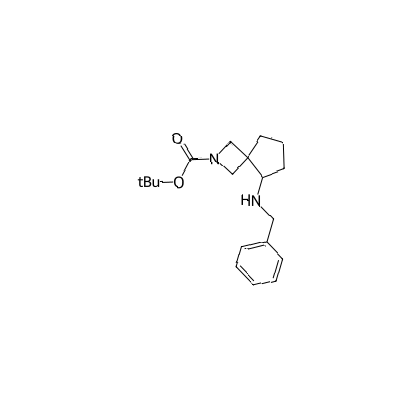 CC(C)(C)OC(=O)N1CC2(CCCC2NCc2ccccc2)C1